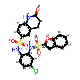 O=C1CCc2cc(S(=O)(=O)Nc3ccc(Cl)cc3NS(=O)(=O)c3cc4ccccc4o3)ccc2N1